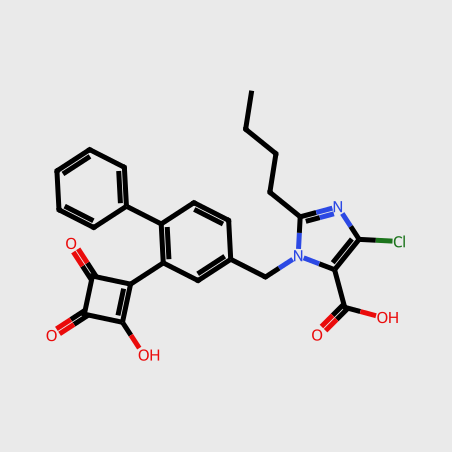 CCCCc1nc(Cl)c(C(=O)O)n1Cc1ccc(-c2ccccc2)c(-c2c(O)c(=O)c2=O)c1